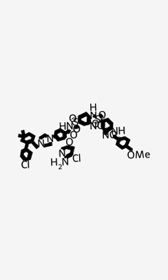 COCC1CCC(CNc2ccc(S(=O)(=O)Nc3ccc(S(=O)(=O)NC(=O)c4ccc(N5CCN(CC6=C(c7ccc(Cl)cc7)CC(C)(C)CC6)CC5)cc4Oc4cnc(N)c(Cl)c4)cc3[N+](=O)[O-])cc2[N+](=O)[O-])CC1